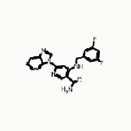 NC(=O)c1cnc(-n2cnc3ccccc32)cc1NCc1cc(F)cc(F)c1